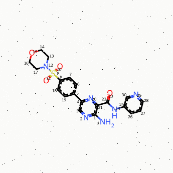 Nc1ncc(-c2ccc(S(=O)(=O)N3CCOCC3)cc2)nc1C(=O)Nc1cccnc1